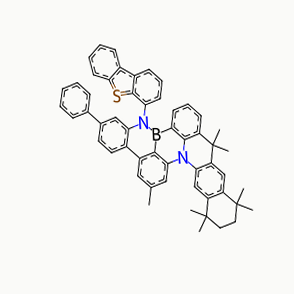 Cc1cc2c3c(c1)N1c4cc5c(cc4C(C)(C)c4cccc(c41)B3N(c1cccc3c1sc1ccccc13)c1cc(-c3ccccc3)ccc1-2)C(C)(C)CCC5(C)C